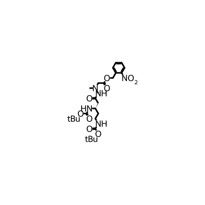 CN(CC(=O)OCc1ccccc1[N+](=O)[O-])NC(=O)C[C@H](CCNC(=O)OC(C)(C)C)NC(=O)OC(C)(C)C